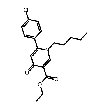 CCCCCn1cc(C(=O)OCC)c(=O)cc1-c1ccc(Cl)cc1